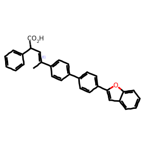 C/C(=C\C(C(=O)O)c1ccccc1)c1ccc(-c2ccc(-c3cc4ccccc4o3)cc2)cc1